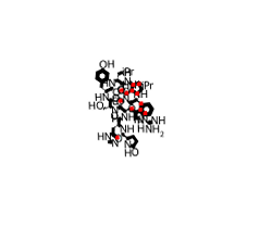 CCN(C(=O)[C@@H]1CCCN1)C(=O)[C@H](CCCNC(=N)N)NC(=O)[C@H](CC(C)C)NC(=O)[C@@H](CC(C)C)NC(=O)[C@@H](Cc1ccc(O)cc1)NC(=O)[C@@H](CO)NC(=O)[C@@H](Cc1c[nH]c2ccccc12)NC(=O)[C@@H](Cc1cnc[nH]1)NC(=O)[C@H]1CCC(=O)N1